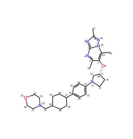 Cc1nc2nc(C)c(O[C@@H]3CCN(c4ccc(C5CCC(CN6CCOCC6)CC5)cc4)C3)c(C)n2n1